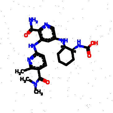 Cc1nc(Nc2cc(N[C@@H]3CCCC[C@@H]3NC(=O)O)cnc2C(N)=O)ccc1C(=O)N(C)C